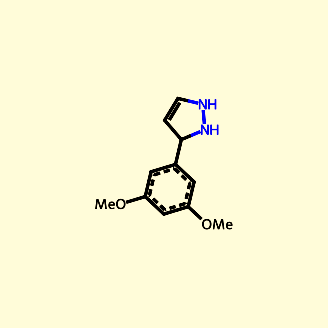 COc1cc(OC)cc(C2C=CNN2)c1